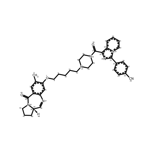 Cc1cc2c(cc1OCCCCCN1CCN(C(=O)c3nc(-c4ccc(C#N)cc4)n4ccccc34)CC1)N=C[C@@H]1CCCN1C2=O